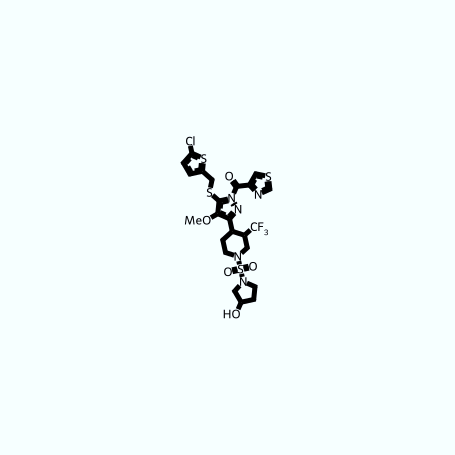 COc1c(C2CCN(S(=O)(=O)N3CCC(O)C3)CC2C(F)(F)F)nn(C(=O)c2cscn2)c1SCc1ccc(Cl)s1